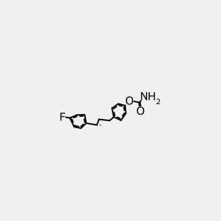 NC(=O)Oc1ccc(CC[CH]c2ccc(F)cc2)cc1